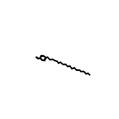 C=Cc1ccc(CCCCCCCCCCCCCCCCCCCC)cc1